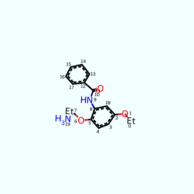 CCOc1ccc(OCC)c(NC(=O)c2ccccc2)c1.N